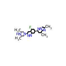 Cc1cn2nc(-c3cc(F)c4cc(N5C[C@@H](C)N[C@@H](C)C5)nnc4c3)cc(C)c2n1